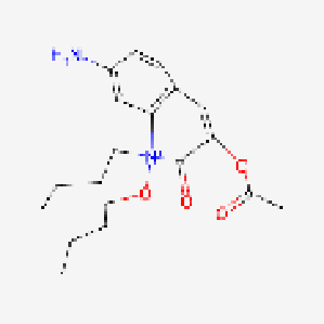 CCCCO[N+]1(CCCC)C(=O)C(OC(C)=O)=Cc2ccc(N)cc21